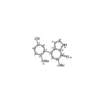 CCCCn1cc(-c2cc(C#N)ccc2OC)c2cc[nH]c2c1=O